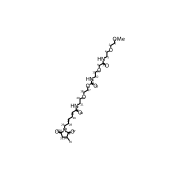 COCCOCCNC(=O)COCCNC(=O)OCCOCCNC(=O)CCCCCN1C(=O)CC(C)C1=O